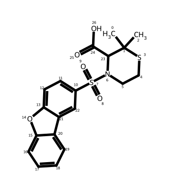 CC1(C)SCCN(S(=O)(=O)c2ccc3oc4ccccc4c3c2)C1C(=O)O